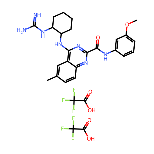 COc1cccc(NC(=O)c2nc(NC3CCCCC3NC(=N)N)c3cc(C)ccc3n2)c1.O=C(O)C(F)(F)F.O=C(O)C(F)(F)F